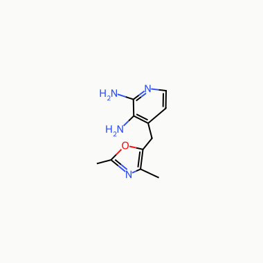 Cc1nc(C)c(Cc2ccnc(N)c2N)o1